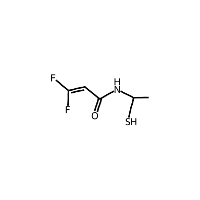 CC(S)NC(=O)C=C(F)F